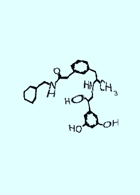 CC(Cc1cccc(CC(=O)NCC2CCCCC2)c1)NCC(O)c1cc(O)cc(O)c1